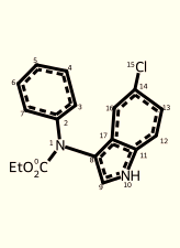 CCOC(=O)N(c1ccccc1)c1c[nH]c2ccc(Cl)cc12